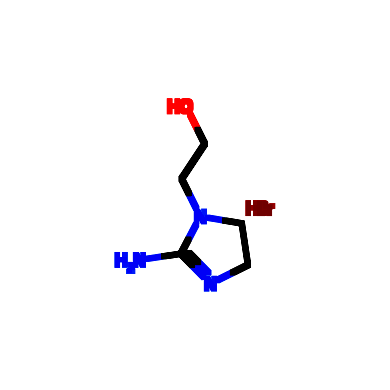 Br.NC1=NCCN1CCO